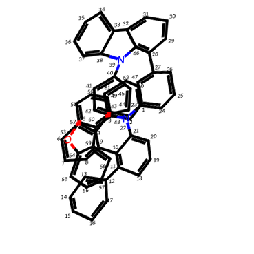 c1ccc(-c2ccccc2-c2c(-c3ccccc3)cccc2N(c2cccc(-c3cccc4c5ccccc5n(-c5ccccc5)c34)c2)c2cccc3oc4ccccc4c23)cc1